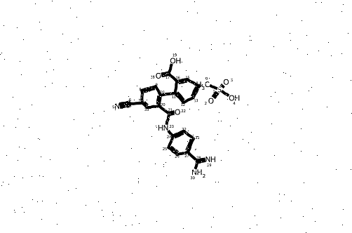 CS(=O)(=O)O.N#Cc1ccc(-c2ccccc2C(=O)O)c(C(=O)Nc2ccc(C(=N)N)cc2)c1